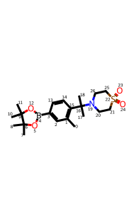 Cc1cc(B2OC(C)(C)C(C)(C)O2)ccc1C(C)(C)N1CCS(=O)(=O)CC1